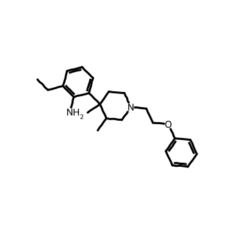 CCc1cccc(C2(C)CCN(CCOc3ccccc3)CC2C)c1N